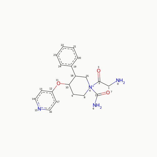 NCC(=O)[N+]1(C(N)=O)CCC(Oc2ccncc2)C(c2ccccc2)C1